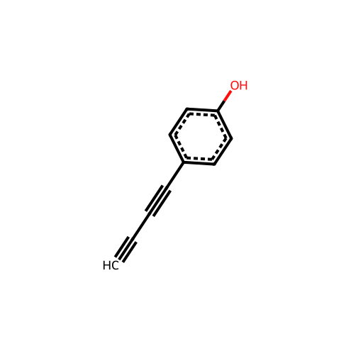 C#CC#Cc1ccc(O)cc1